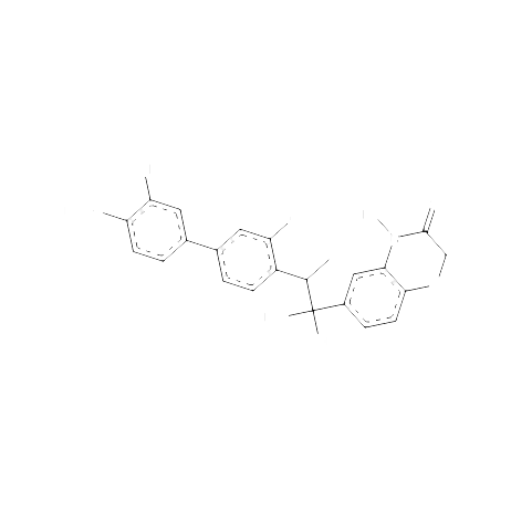 CCN1C(=O)COc2ccc(C(O)(C(C)c3ccc(-c4ccc(C(=O)O)c(Cl)c4)cc3Cl)C(F)(F)F)cc21